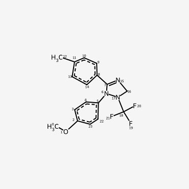 COc1ccc(N2C(c3ccc(C)cc3)=NCN2C(F)(F)F)cc1